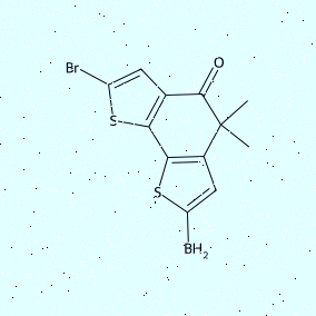 Bc1cc2c(s1)-c1sc(Br)cc1C(=O)C2(C)C